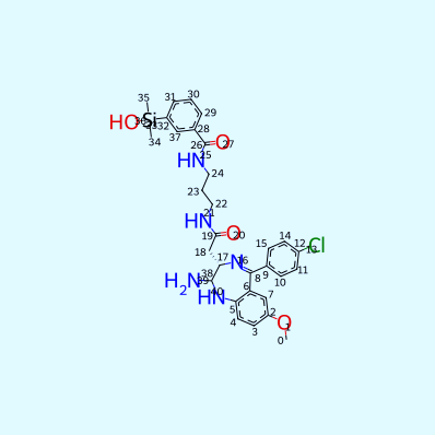 COc1ccc2c(c1)C(c1ccc(Cl)cc1)=N[C@@H](CC(=O)NCCCNC(=O)c1cccc([Si](C)(C)O)c1)C(N)N2